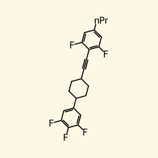 CCCc1cc(F)c(C#CC2CCC(c3cc(F)c(F)c(F)c3)CC2)c(F)c1